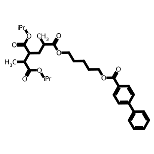 CC(C)OC(=O)C(C)C(CC(C)C(=O)OCCCCCOC(=O)c1ccc(-c2ccccc2)cc1)C(=O)OC(C)C